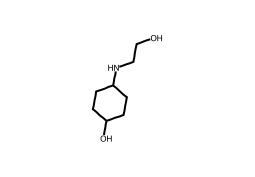 OCCNC1CCC(O)CC1